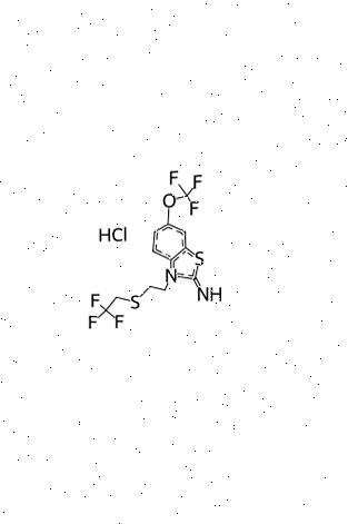 Cl.N=c1sc2cc(OC(F)(F)F)ccc2n1CCSCC(F)(F)F